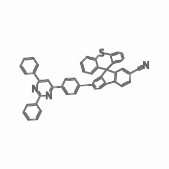 N#Cc1ccc2c(c1)C1(c3ccccc3Sc3ccccc31)c1cc(-c3ccc(-c4cc(-c5ccccc5)nc(-c5ccccc5)n4)cc3)ccc1-2